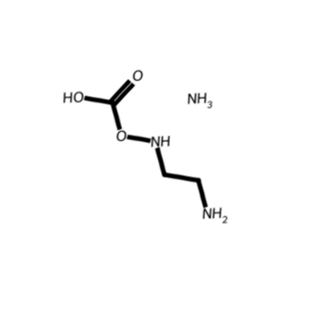 N.NCCNOC(=O)O